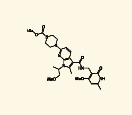 COCC(C)n1c(C)c(C(=O)NCc2c(OC)cc(C)[nH]c2=O)c2ccc(N3CCN(C(=O)OC(C)(C)C)CC3)nc21